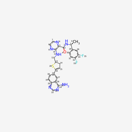 C[C@H](NC(=O)c1nccnc1NCC1CC=C(c2ccc3ncnc(N)c3c2)S1)c1ccc(F)c(F)c1